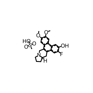 COc1cc2c3c(c4cc(F)c(O)cc4c2cc1OC)C[C@@H]1CCCN1C3.CS(=O)(=O)O